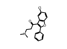 CN(C)CCC(=O)c1c(-c2ccccc2)oc2ccc(Cl)cc12